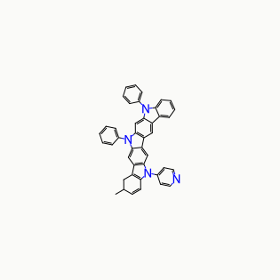 CC1C=Cc2c(c3cc4c(cc3n2-c2ccncc2)c2cc3c5ccccc5n(-c5ccccc5)c3cc2n4-c2ccccc2)C1